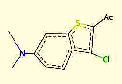 CC(=O)c1sc2cc(N(C)C)ccc2c1Cl